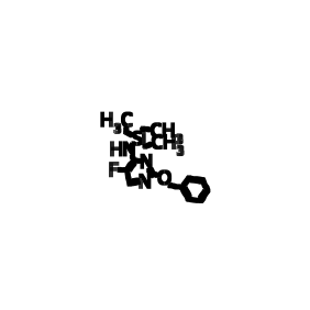 CC[Si](CC)(CC)Nc1nc(OCc2ccccc2)ncc1F